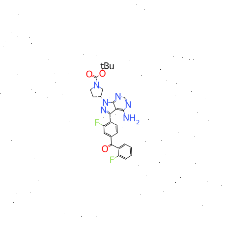 CC(C)(C)OC(=O)N1CC[C@@H](n2nc(-c3ccc(C(=O)c4ccccc4F)cc3F)c3c(N)ncnc32)C1